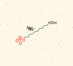 CCCCCCCCCCCCCCCCCCCCOP(=O)([O-])[O-].[Na+].[Na+]